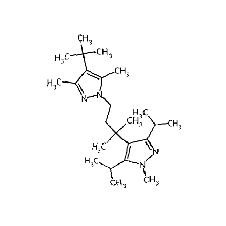 Cc1nn(CCC(C)(C)c2c(C(C)C)nn(C)c2C(C)C)c(C)c1C(C)(C)C